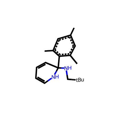 Cc1cc(C)c(C2(NCC(C)(C)C)C=CC=CN2)c(C)c1